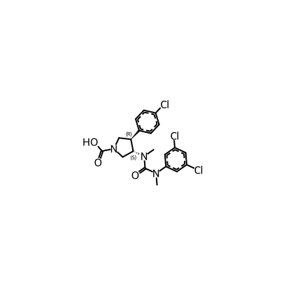 CN(C(=O)N(C)[C@@H]1CN(C(=O)O)C[C@H]1c1ccc(Cl)cc1)c1cc(Cl)cc(Cl)c1